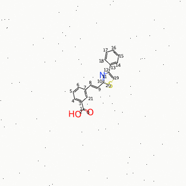 O=C(O)c1cccc(C=Cc2nc(-c3ccccc3)cs2)c1